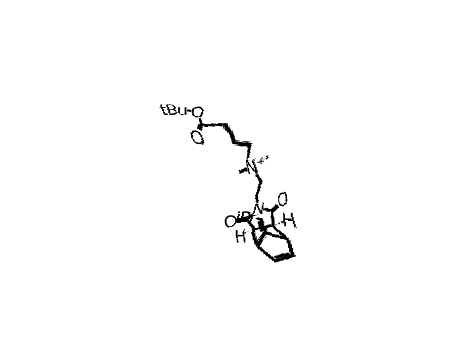 CC(C)/C=C1\C2C=CC1[C@@H]1C(=O)N(CC[N+](C)(C)CCCC(=O)OC(C)(C)C)C(=O)[C@H]21